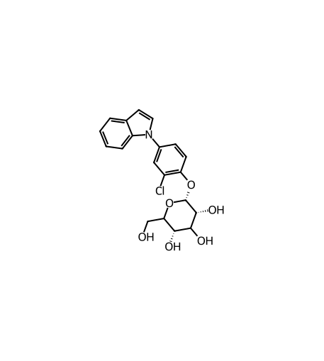 OCC1O[C@H](Oc2ccc(-n3ccc4ccccc43)cc2Cl)[C@H](O)C(O)[C@@H]1O